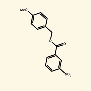 COc1ccc(COC(=O)c2cccc([N+](=O)[O-])c2)cc1